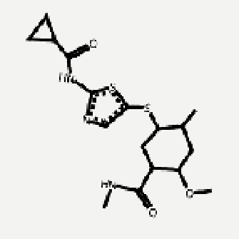 CNC(=O)C1CC(Sc2cnc(NC(=O)C3CC3)s2)C(C)CC1OC